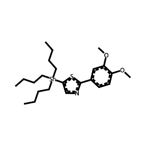 CCC[CH2][Sn]([CH2]CCC)([CH2]CCC)[c]1cnc(-c2ccc(OC)c(OC)c2)s1